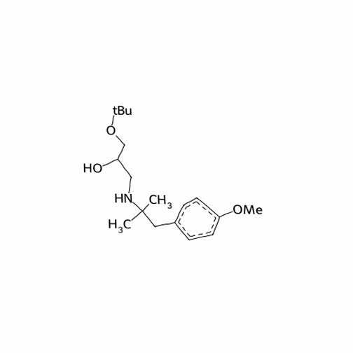 COc1ccc(CC(C)(C)NCC(O)COC(C)(C)C)cc1